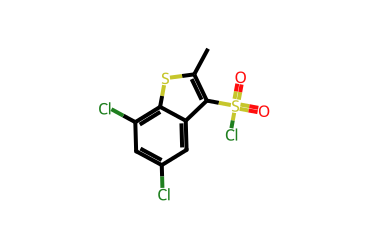 Cc1sc2c(Cl)cc(Cl)cc2c1S(=O)(=O)Cl